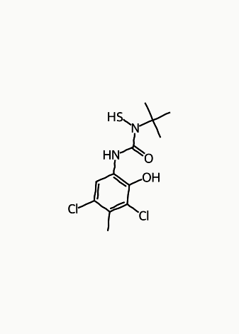 Cc1c(Cl)cc(NC(=O)N(S)C(C)(C)C)c(O)c1Cl